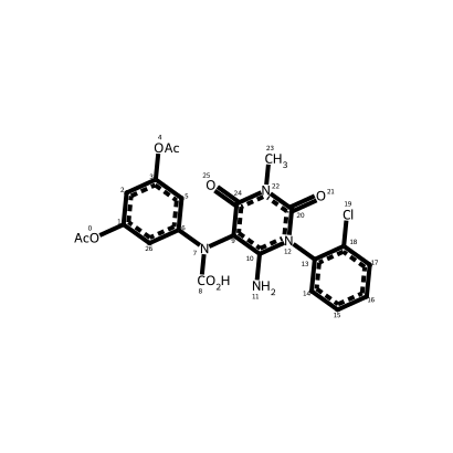 CC(=O)Oc1cc(OC(C)=O)cc(N(C(=O)O)c2c(N)n(-c3ccccc3Cl)c(=O)n(C)c2=O)c1